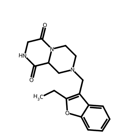 CCc1oc2ccccc2c1CN1CCN2C(=O)CNC(=O)C2C1